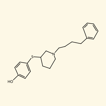 Oc1ccc(SC2CCCN(CCCCc3ccccc3)C2)cc1